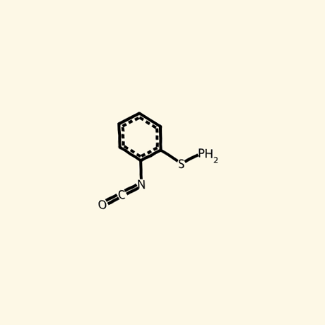 O=C=Nc1ccccc1SP